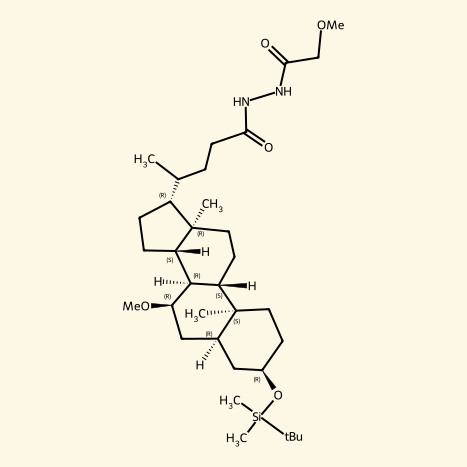 COCC(=O)NNC(=O)CCC(C)[C@H]1CC[C@H]2[C@@H]3[C@H](OC)C[C@@H]4C[C@H](O[Si](C)(C)C(C)(C)C)CC[C@]4(C)[C@H]3CC[C@]12C